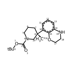 CC(C)(C)OC(=O)N1CCC[C@](C)(c2cccc3c2OCCN3)C1